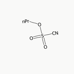 CCCOS(=O)(=O)C#N